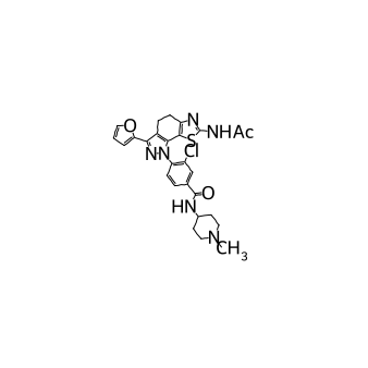 CC(=O)Nc1nc2c(s1)-c1c(c(-c3ccco3)nn1-c1ccc(C(=O)NC3CCN(C)CC3)cc1Cl)CC2